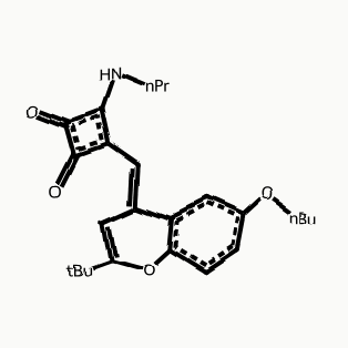 CCCCOc1ccc2c(c1)C(=Cc1c(NCCC)c(=O)c1=O)C=C(C(C)(C)C)O2